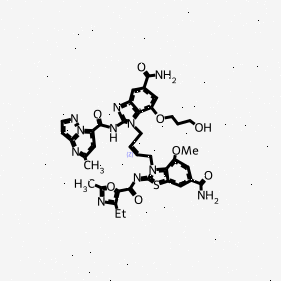 CCc1nc(C)oc1C(=O)N=c1sc2cc(C(N)=O)cc(OC)c2n1C/C=C\Cn1c(NC(=O)c2cc(C)nc3ccnn23)nc2cc(C(N)=O)cc(OCCCO)c21